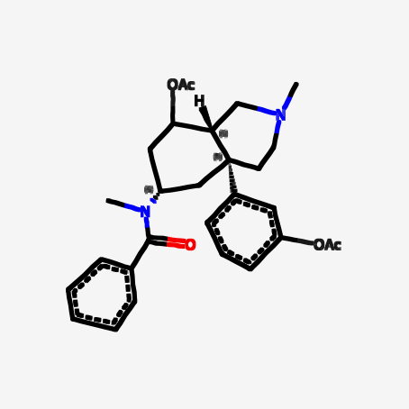 CC(=O)Oc1cccc([C@@]23CCN(C)C[C@H]2C(OC(C)=O)C[C@@H](N(C)C(=O)c2ccccc2)C3)c1